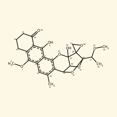 COc1c2c(c(O)c3c4c(c(C)cc13)C1OC3(C(C)OC)OC1C(O)(O4)C31CO1)C(=O)CCC2